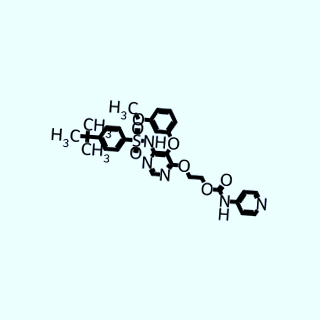 COc1cccc(Oc2c(NS(=O)(=O)c3ccc(C(C)(C)C)cc3)ncnc2OCCOC(=O)Nc2ccncc2)c1